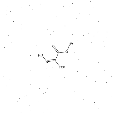 CCCCC(=NO)C(=O)OC(C)C